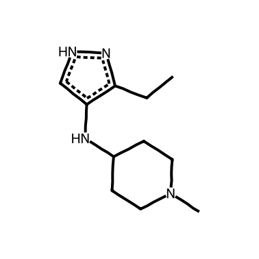 CCc1n[nH]cc1NC1CCN(C)CC1